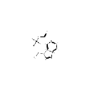 CC(C)(C)OC=O.OCn1ccc2ccccc21